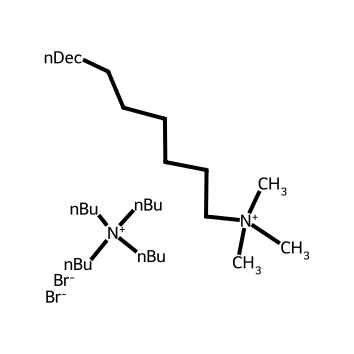 CCCCCCCCCCCCCCCC[N+](C)(C)C.CCCC[N+](CCCC)(CCCC)CCCC.[Br-].[Br-]